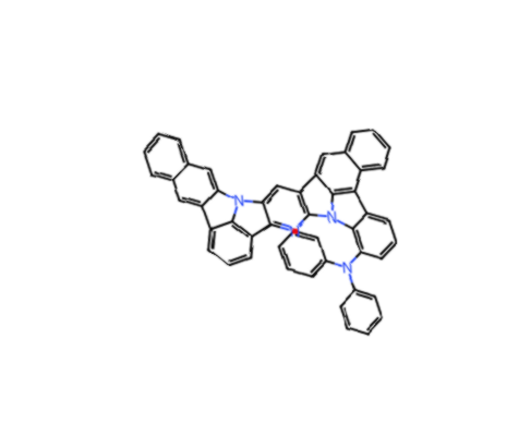 c1ccc(N(c2ccccc2)c2cccc3c4c5ccccc5cc5c6cc7c(nc6n(c23)c54)c2cccc3c4cc5ccccc5cc4n7c32)cc1